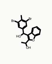 Cc1c(Br)cc(C(O)c2c(C(C)O)oc3ccccc23)cc1Br